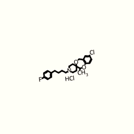 CC1Oc2ccc(Cl)cc2COC12CCN(CCCCc1ccc(F)cc1)CC2.Cl